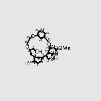 C=C/C1=C\c2cc(ccc2C(C)C)-c2c[nH]c3nc(OC)nc(c23)OCc2cncc(c2)OCCO1